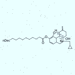 C=C1CC[C@@]2(O)C3CC4C=CC(OC(=O)CCCCCCCCCCCCCCCCCCC)=C5O[C@@H]1[C@]2(CCN3CC1CC1)C54